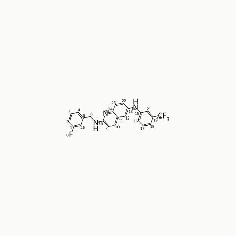 Fc1cccc(CNc2ccc3cc(Nc4cccc(C(F)(F)F)c4)ccc3n2)c1